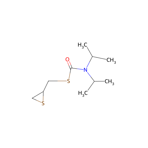 CC(C)N(C(=O)SCC1CS1)C(C)C